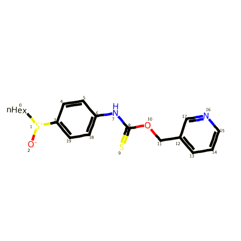 CCCCCC[S+]([O-])c1ccc(NC(=S)OCc2cccnc2)cc1